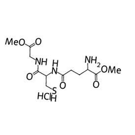 COC(=O)CNC(=O)C(CS)NC(=O)CCC(N)C(=O)OC.Cl